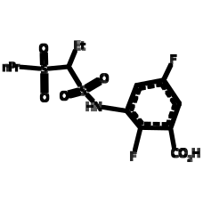 CCCS(=O)(=O)C(CC)S(=O)(=O)Nc1cc(F)cc(C(=O)O)c1F